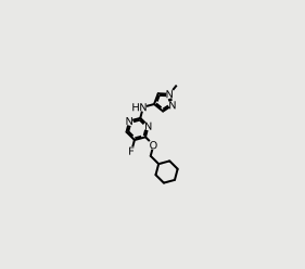 Cn1cc(Nc2ncc(F)c(OCC3CCCCC3)n2)cn1